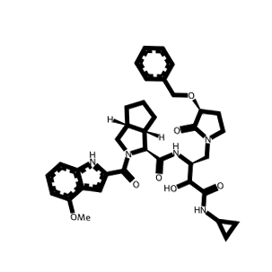 COc1cccc2[nH]c(C(=O)N3C[C@@H]4CCC[C@@H]4[C@H]3C(=O)N[C@@H](CN3CC[C@H](OCc4ccccc4)C3=O)C(O)C(=O)NC3CC3)cc12